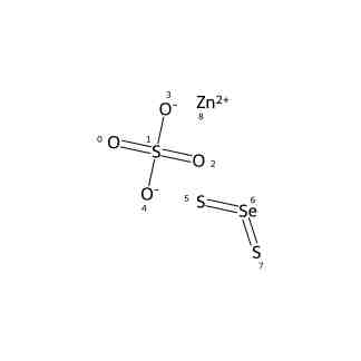 O=S(=O)([O-])[O-].S=[Se]=S.[Zn+2]